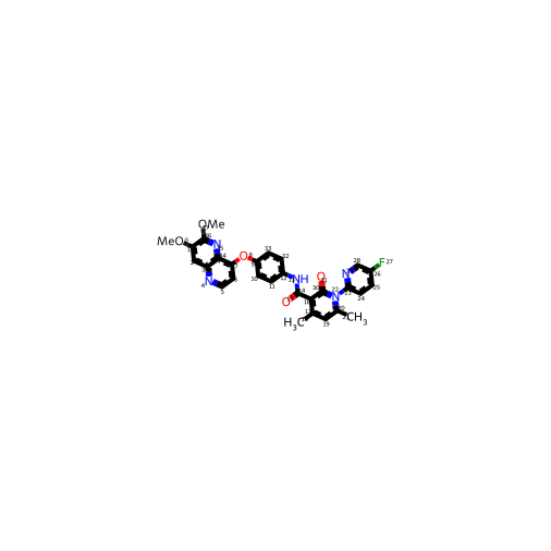 COc1cc2nccc(Oc3ccc(NC(=O)c4c(C)cc(C)n(-c5ccc(F)cn5)c4=O)cc3)c2nc1OC